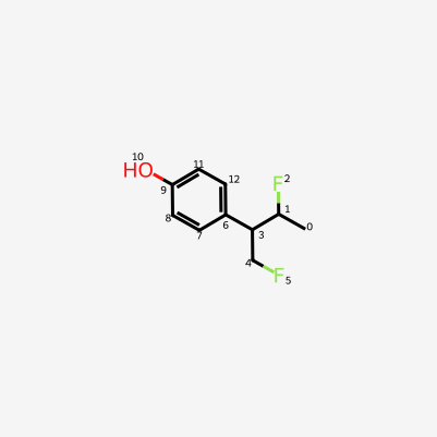 CC(F)C(CF)c1ccc(O)cc1